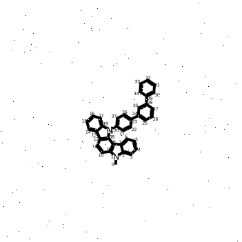 Cn1c2ccccc2c2c1ccc1c3ccccc3n(-c3ccc(-c4cccc(-c5ccccc5)c4)cc3)c12